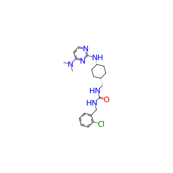 CN(C)c1ccnc(N[C@H]2CC[C@@H](CNC(=O)NCc3ccccc3Cl)CC2)n1